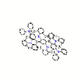 Cc1cccc(C)c1N1c2ccccc2B2c3cc4c(cc3N(c3c(C)cccc3C)c3cc(N(c5ccccc5)c5ccccc5)cc1c32)B1c2ccccc2N(c2c(C)cccc2C)c2cc(N(c3ccccc3)c3ccccc3)cc(c21)N4c1c(C)cccc1C